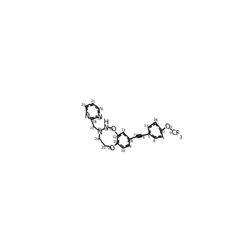 FC(F)(F)Oc1ccc(C#Cc2ccc3c(c2)ONN(Cc2ncccn2)CCO3)cc1